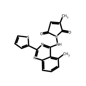 CC1=CC(=O)N(Nc2nc(-c3cccs3)nc3cccc(C)c23)C1=O